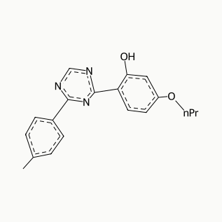 CCCOc1ccc(-c2ncnc(-c3ccc(C)cc3)n2)c(O)c1